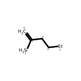 C=C([SiH3])CCCC